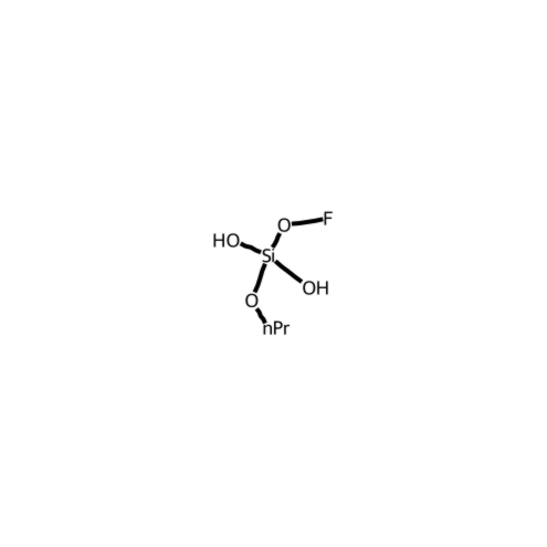 CCCO[Si](O)(O)OF